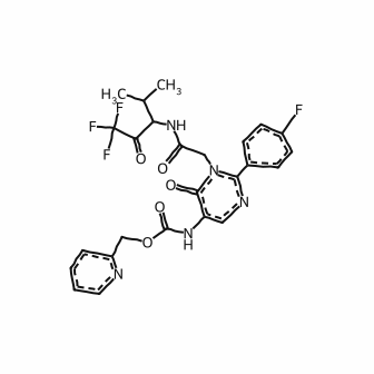 CC(C)C(NC(=O)Cn1c(-c2ccc(F)cc2)ncc(NC(=O)OCc2ccccn2)c1=O)C(=O)C(F)(F)F